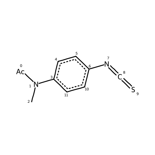 CC(=O)N(C)c1ccc(N=C=S)cc1